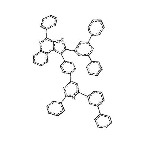 c1ccc(-c2cccc(-c3cc(-c4ccc(-c5c(-c6cc(-c7ccccc7)cc(-c7ccccc7)c6)sc6c(-c7ccccc7)nc7ccccc7c56)cc4)nc(-c4ccccc4)n3)c2)cc1